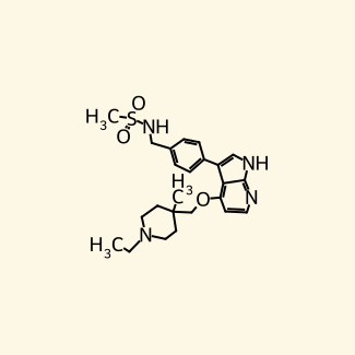 CCN1CCC(C)(COc2ccnc3[nH]cc(-c4ccc(CNS(C)(=O)=O)cc4)c23)CC1